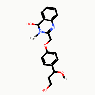 CCOC(CCO)c1ccc(OCC2=Nc3ccccc3C(O)N2C)cc1